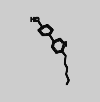 CCCCCCc1ccc(-c2ccc(O)cc2)cn1